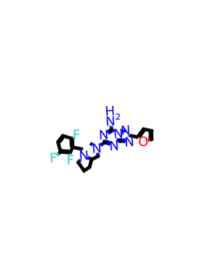 CN(CC1CCCN1Cc1c(F)ccc(F)c1F)c1nc(N)n2nc(-c3ccco3)nc2n1